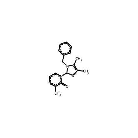 CC1=C(C)N(Cc2ccccc2)C(n2ccnc(C)c2=O)S1